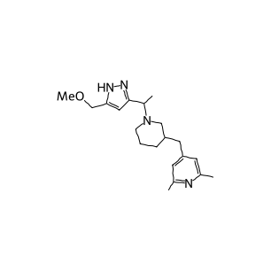 COCc1cc(C(C)N2CCCC(Cc3cc(C)nc(C)c3)C2)n[nH]1